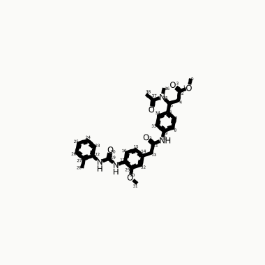 COC(=O)CC(c1ccc(NC(=O)Cc2ccc(NC(=O)Nc3ccccc3C)c(OC)c2)cc1)N(C)C(C)=O